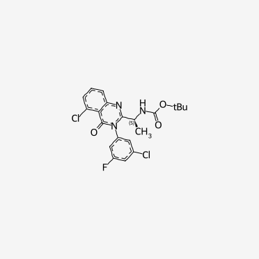 C[C@H](NC(=O)OC(C)(C)C)c1nc2cccc(Cl)c2c(=O)n1-c1cc(F)cc(Cl)c1